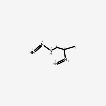 CC(CNN=N)N=N